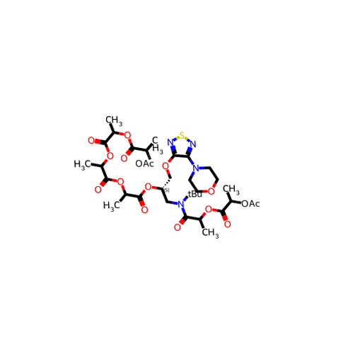 CC(=O)OC(C)C(=O)OC(C)C(=O)OC(C)C(=O)OC(C)C(=O)O[C@H](COc1nsnc1N1CCOCC1)CN(C(=O)C(C)OC(=O)C(C)OC(C)=O)C(C)(C)C